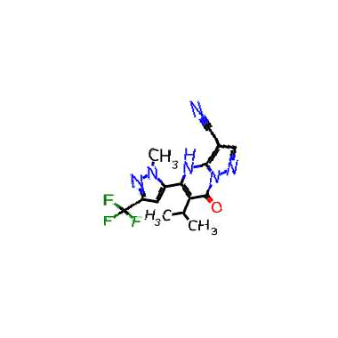 CC(C)c1c(-c2cc(C(F)(F)F)nn2C)[nH]c2c(C#N)cnn2c1=O